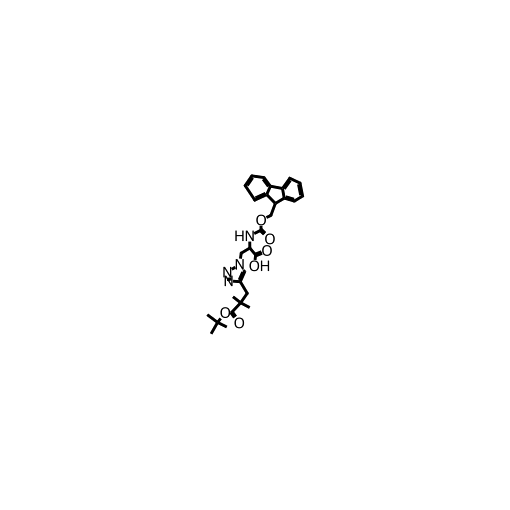 CC(C)(C)OC(=O)C(C)(C)Cc1cn(CC(NC(=O)OCC2c3ccccc3-c3ccccc32)C(=O)O)nn1